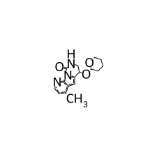 Cc1ccnc2c1cc1n2C(=O)NCC1OC1CCCCO1